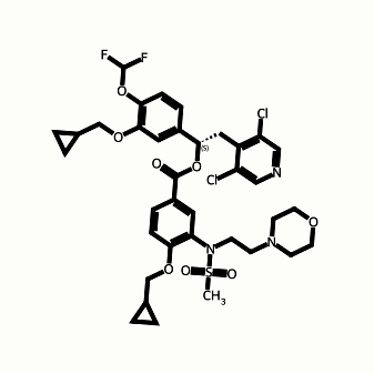 CS(=O)(=O)N(CCN1CCOCC1)c1cc(C(=O)O[C@@H](Cc2c(Cl)cncc2Cl)c2ccc(OC(F)F)c(OCC3CC3)c2)ccc1OCC1CC1